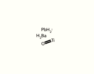 [BaH2].[O]=[Ti].[PbH2]